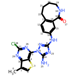 Cc1csc2c(-n3nc(Nc4ccc5c(c4)C(=O)NCCCC5)nc3N)nc(Cl)nc12